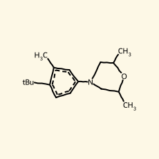 Cc1cc(N2CC(C)OC(C)C2)ccc1C(C)(C)C